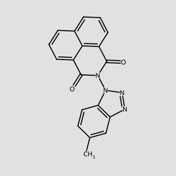 Cc1ccc2c(c1)nnn2N1C(=O)c2cccc3cccc(c23)C1=O